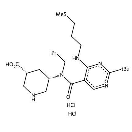 CSCCCNc1nc(C(C)(C)C)ncc1C(=O)N(CC(C)C)[C@@H]1CNC[C@H](C(=O)O)C1.Cl.Cl